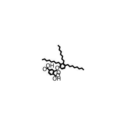 CCCCCCCCc1ccc(OC(=O)c2cc(C(=O)O)ccc2C(=O)O)c(CCCCCCCC)c1CCCCCCCC